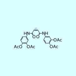 CC(=O)Oc1ccc(NC(=O)/C=C\C(=O)Nc2ccc(OC(C)=O)c(OC(C)=O)c2)cc1OC(C)=O